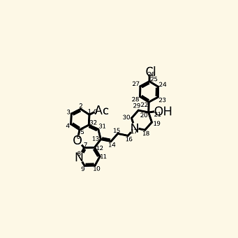 CC(=O)C1C=CC=C2Oc3ncccc3C(=CCCN3CCC(O)(c4ccc(Cl)cc4)CC3)C=C21